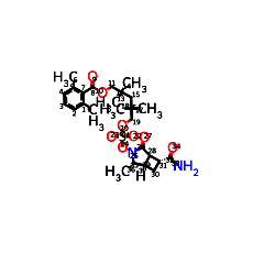 Cc1cccc(C)c1C(=O)OCC(C)(C)CC(C)(C)COS(=O)(=O)ON1C(=O)C2[C@@H](C[C@H]2C(N)=O)[C@@H]1C